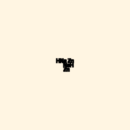 [NaH].[NaH].[Zn].[Zn]